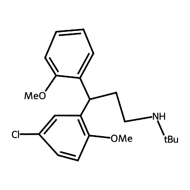 COc1ccccc1C(CCNC(C)(C)C)c1cc(Cl)ccc1OC